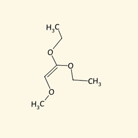 CCOC(=COC)OCC